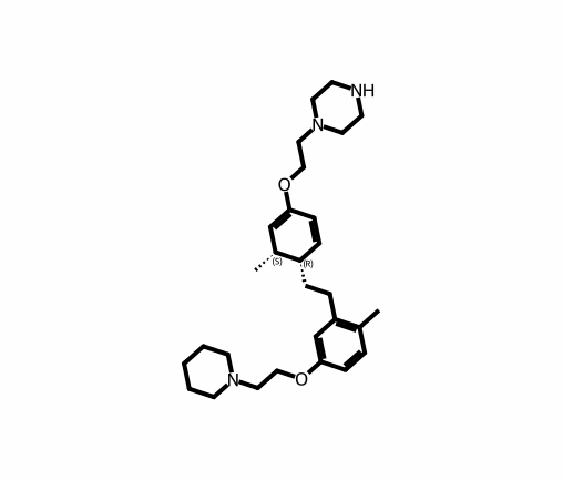 Cc1ccc(OCCN2CCCCC2)cc1CC[C@H]1C=CC(OCCN2CCNCC2)=C[C@H]1C